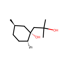 CC(C)[C@@H]1CC[C@@H](C)C[C@@]1(O)CC(C)(C)O